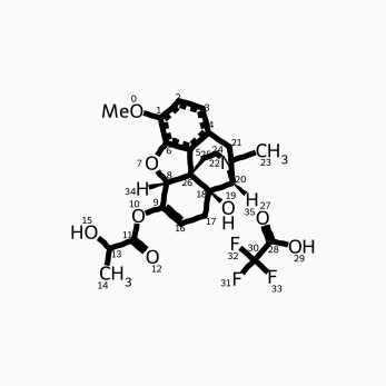 COc1ccc2c3c1O[C@H]1C(OC(=O)C(C)O)=CC[C@@]4(O)[C@@H](C2)N(C)CC[C@]314.O=C(O)C(F)(F)F